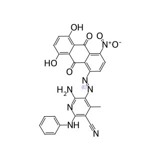 Cc1c(C#N)c(Nc2ccccc2)nc(N)c1/N=N/c1ccc([N+](=O)[O-])c2c1C(=O)c1c(O)ccc(O)c1C2=O